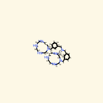 CN(Cc1cccc(CN2CCNCCNCCNCC2)c1)Cc1cccc(CN2CCNCCNCCNCC2)c1